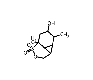 CC1C(O)CC2(C)C3C(COS2(=O)=O)C13